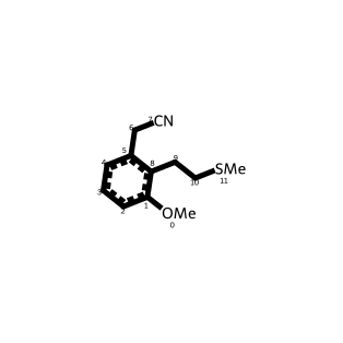 COc1cc[c]c(CC#N)c1CCSC